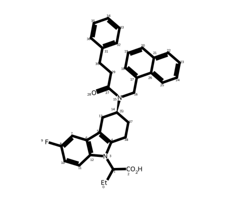 CCC(C(=O)O)n1c2c(c3cc(F)ccc31)C[C@@H](N(Cc1cccc3ccccc13)C(=O)CCc1ccccc1)CC2